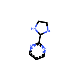 [CH]1CNC(c2ncccn2)N1